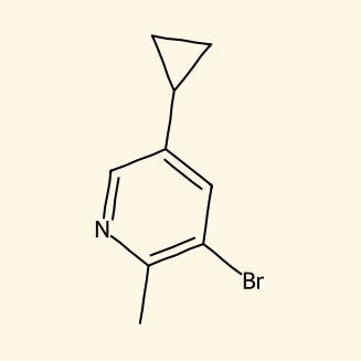 Cc1ncc(C2CC2)cc1Br